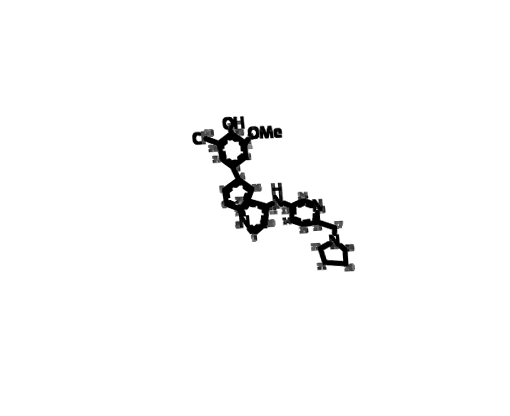 COc1cc(-c2ccc3nc[c]c(Nc4ccc(CN5CCCC5)nc4)c3c2)cc(Cl)c1O